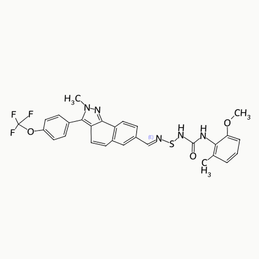 COc1cccc(C)c1NC(=O)NS/N=C/c1ccc2c(ccc3c(-c4ccc(OC(F)(F)F)cc4)n(C)nc32)c1